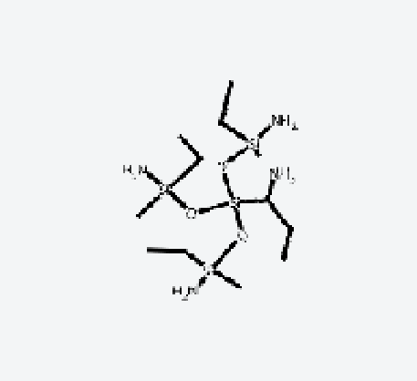 CCC(N)[Si](O[Si](C)(N)CC)(O[Si](C)(N)CC)O[Si](C)(N)CC